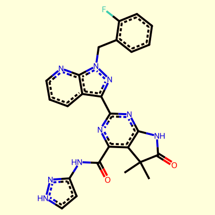 CC1(C)C(=O)Nc2nc(-c3nn(Cc4ccccc4F)c4ncccc34)nc(C(=O)Nc3cc[nH]n3)c21